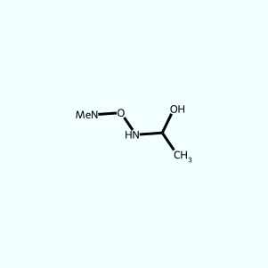 CNONC(C)O